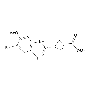 COc1cc(NC(=S)[C@H]2C[C@H](C(=O)OC)C2)c(I)cc1Br